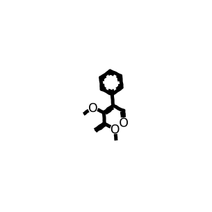 C=C(OC)C(OC)=C(C=O)c1ccccc1